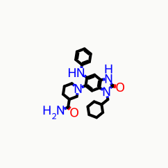 NC(=O)C1CCCN(c2cc3c(cc2Nc2ccccc2)[nH]c(=O)n3CC2CCCCC2)C1